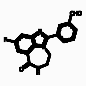 O=Cc1cccc(-c2nc3cc(F)cc4c3n2CCNC4=O)c1